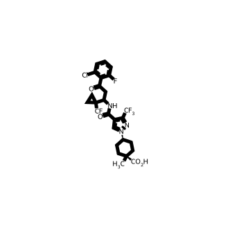 C[C@]1(C(=O)O)CC[C@H](n2cc(C(=O)NC(CC(=O)c3c(F)cccc3Cl)C3(C(F)(F)F)CC3)c(C(F)(F)F)n2)CC1